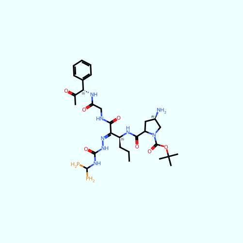 CCC[C@H](NC(=O)C1C[C@@H](N)CN1C(=O)OC(C)(C)C)C(=NNC(=O)NC(P)P)C(=O)NCC(=O)N[C@H](C(C)=O)c1ccccc1